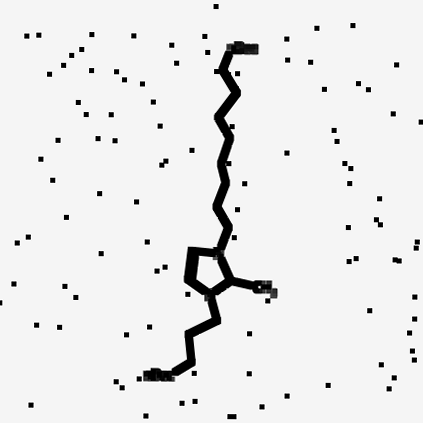 CCCCCCCCCCCCCCCCCCN1C=CN(CCCCCCCCCCCCC)C1C